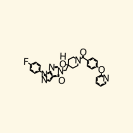 O=C(c1ccc(Oc2ccccn2)cc1)N1CCC(O)(Cn2cnc3c(cnn3-c3ccc(F)cc3)c2=O)CC1